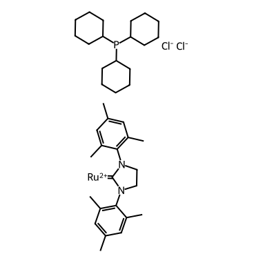 C1CCC(P(C2CCCCC2)C2CCCCC2)CC1.Cc1cc(C)c(N2CCN(c3c(C)cc(C)cc3C)[C]2=[Ru+2])c(C)c1.[Cl-].[Cl-]